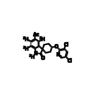 [2H]c1c([2H])c2c(c([2H])c1C(C)=O)C1(CCC(Oc3ncc(Cl)cc3Cl)CC1)C(=O)N2[2H]